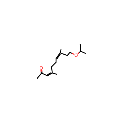 CC(=O)C=C(C)CCC=C(C)CCOC(C)C